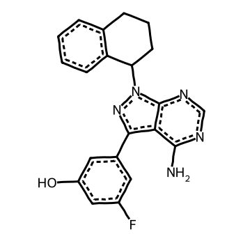 Nc1ncnc2c1c(-c1cc(O)cc(F)c1)nn2C1CCCc2ccccc21